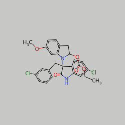 CCOC(=O)OC1Cc2ccc(OC)cc2N1C1(Cc2cccc(Cl)c2)C(=O)Nc2cc(Cl)ccc21